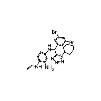 C=CNc1ccc(NC(c2cc(Br)cc(Br)c2)c2nnnn2C2CCCCC2)cc1N